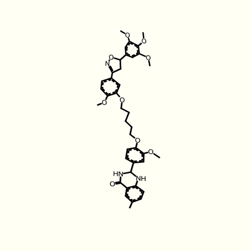 COc1cc(C2NC(=O)c3cc(C)ccc3N2)ccc1OCCCCCOc1cc(C2=NOC(c3cc(OC)c(OC)c(OC)c3)C2)ccc1OC